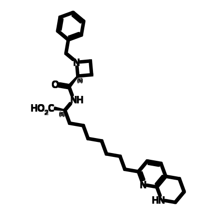 O=C(O)[C@H](CCCCCCCc1ccc2c(n1)NCCC2)NC(=O)[C@@H]1CCN1Cc1ccccc1